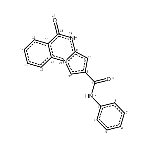 O=C(Nc1ccccc1)c1cc2[nH]c(=O)c3ccccc3n2c1